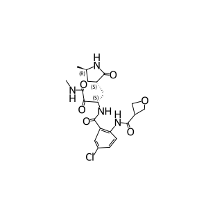 CNC(=O)C(=O)[C@H](C[C@@H]1C[C@@H](C)NC1=O)NC(=O)c1cc(Cl)ccc1NC(=O)C1COC1